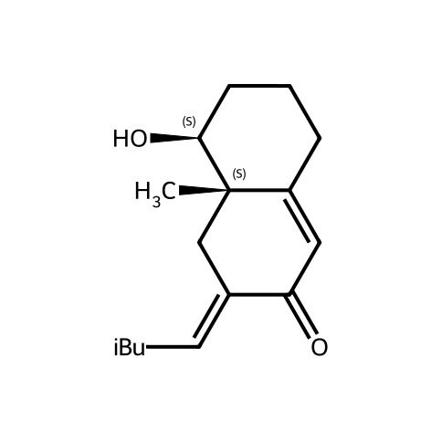 CCC(C)C=C1C[C@@]2(C)C(=CC1=O)CCC[C@@H]2O